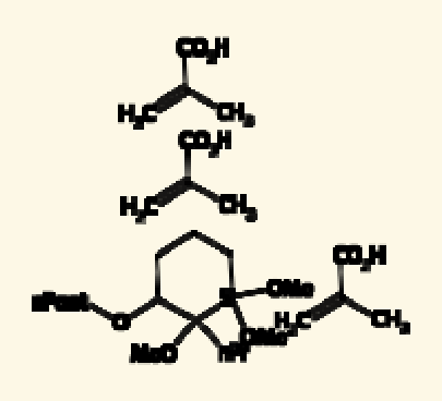 C=C(C)C(=O)O.C=C(C)C(=O)O.C=C(C)C(=O)O.CCCCCOC1CCC[Si](OC)(OC)C1(CCC)OC